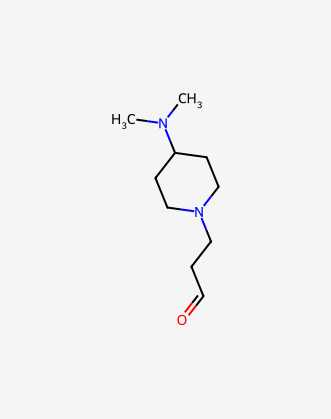 CN(C)C1CCN(CCC=O)CC1